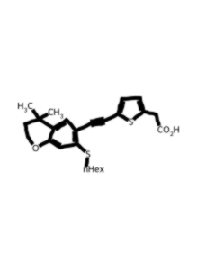 CCCCCCSc1cc2c(cc1C#Cc1ccc(CC(=O)O)s1)C(C)(C)CCO2